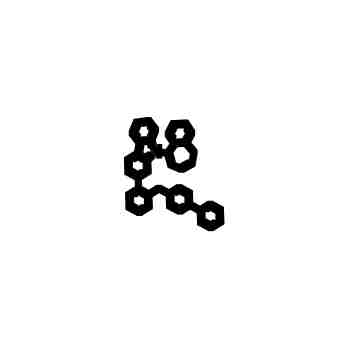 C1=CCc2ccccc2C(n2c3ccccc3c3ccc(-c4ccccc4Cc4ccc(-c5ccccc5)cc4)cc32)=C1